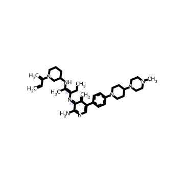 C=CC(=C)N1CCCC(N/C(C)=C(CC)/N=C2\C(=C)C(c3ccc(N4CCC(N5CCN(C)CC5)CC4)cc3)=CN=C2N)C1